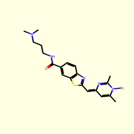 CCN1C(C)=C/C(=C/c2nc3ccc(C(=O)NCCCN(C)C)cc3s2)N=C1C